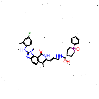 Cc1cc(F)ccc1Nc1nc2ccc3c(C)c(/C=C/CNC(O)[C@H]4CC[P@@](=O)(c5ccccc5)CC4)[nH]c(=O)c3c2n1C